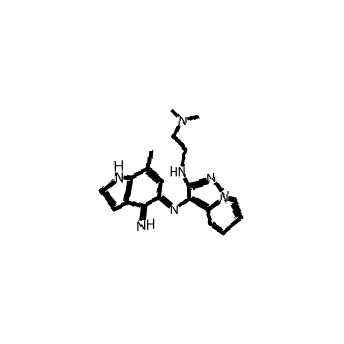 CC1=CC(=Nc2c(NCCN(C)C)nn3ccccc23)C(=N)c2cc[nH]c21